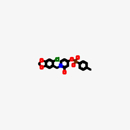 Cc1ccc(S(=O)(=O)Oc2ccn(Cc3cc4c(cc3Cl)OCO4)c(=O)c2)cc1